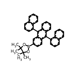 CC1(C)OB(c2ccc3c(-c4cccc5ccccc45)c4ccccc4c(-c4cccc5ccccc45)c3c2)OC1(C)C